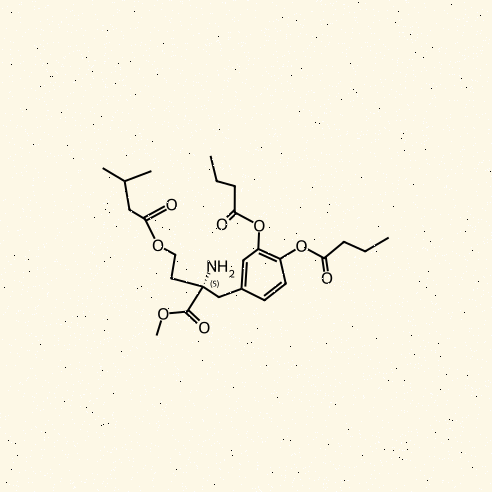 CCCC(=O)Oc1ccc(C[C@](N)(CCOC(=O)CC(C)C)C(=O)OC)cc1OC(=O)CCC